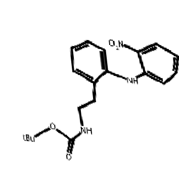 CC(C)(C)OC(=O)NCCc1ccccc1Nc1ccccc1[N+](=O)[O-]